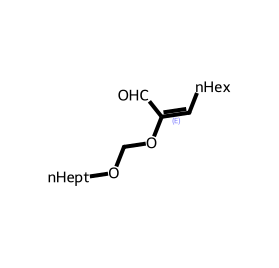 CCCCCC/C=C(\C=O)OCOCCCCCCC